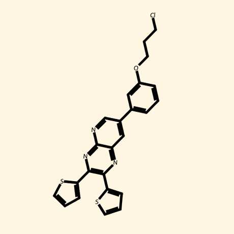 ClCCCOc1cccc(-c2cnc3nc(-c4cccs4)c(-c4cccs4)nc3c2)c1